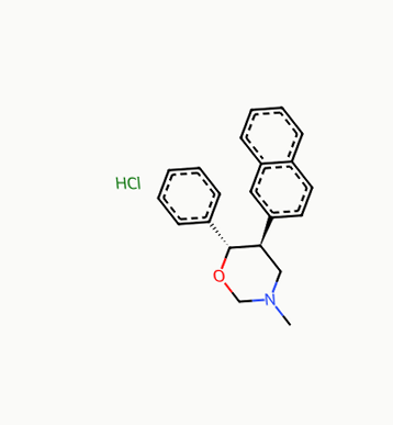 CN1CO[C@H](c2ccccc2)[C@@H](c2ccc3ccccc3c2)C1.Cl